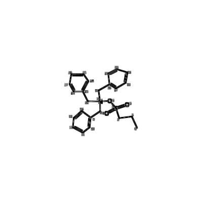 CCCS(=O)(=O)O[Si](Cc1ccccc1)(Cc1ccccc1)Cc1ccccc1